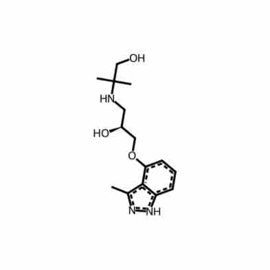 Cc1n[nH]c2cccc(OC[C@@H](O)CNC(C)(C)CO)c12